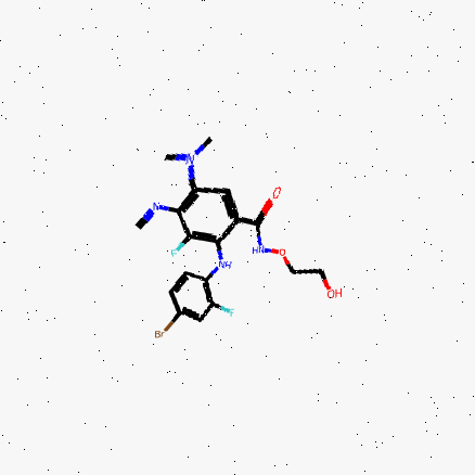 C=Nc1c(N(C)C)cc(C(=O)NOCCO)c(Nc2ccc(Br)cc2F)c1F